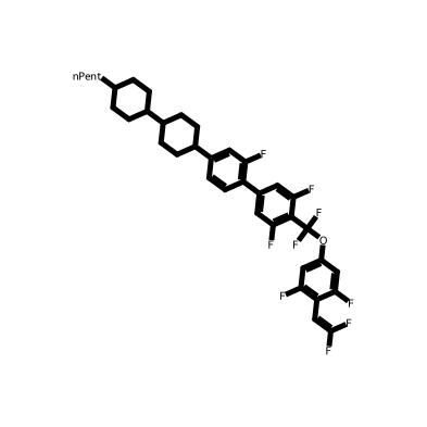 CCCCCC1CCC(C2CCC(c3ccc(-c4cc(F)c(C(F)(F)Oc5cc(F)c(C=C(F)F)c(F)c5)c(F)c4)c(F)c3)CC2)CC1